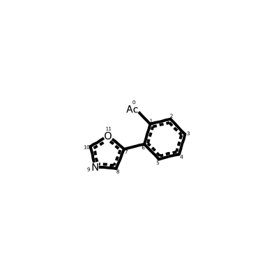 [CH2]C(=O)c1ccccc1-c1cnco1